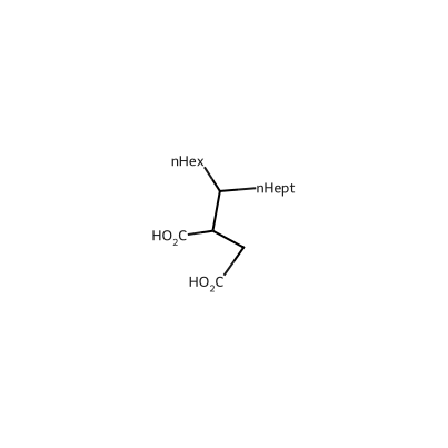 CCCCCCCC(CCCCCC)C(CC(=O)O)C(=O)O